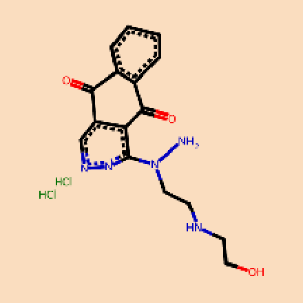 Cl.Cl.NN(CCNCCO)c1nncc2c1C(=O)c1ccccc1C2=O